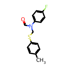 Cc1ccc(SCN(C=O)c2ccc(F)cc2)cc1